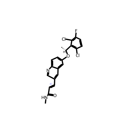 CNC(=O)/C=C/c1cnc2ccc(O[C@H](C)c3c(Cl)ccc(F)c3Cl)cc2c1